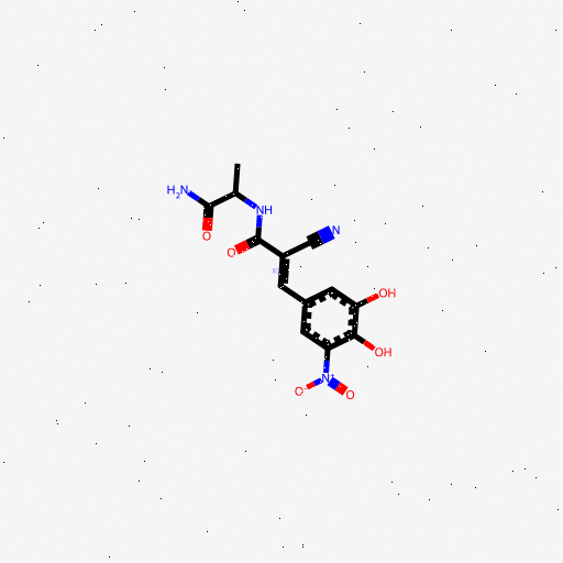 CC(NC(=O)/C(C#N)=C/c1cc(O)c(O)c([N+](=O)[O-])c1)C(N)=O